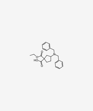 CCOC(=O)C1(C(=O)O)CCC(N(Cc2ccccc2)Cc2ccccc2)C1